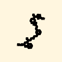 COC(CN(C(=O)CCOCCc1cccc(CCN2CC3(C2)CN(C(=O)c2csc(C(C)C)n2)CCO3)c1)C1CCCCC1)OC